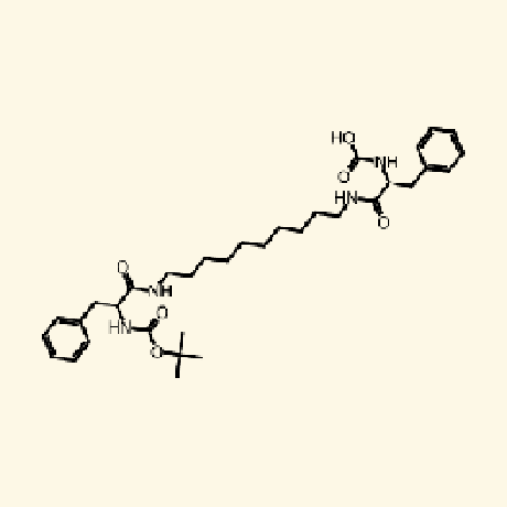 CC(C)(C)OC(=O)N[C@@H](Cc1ccccc1)C(=O)NCCCCCCCCCCNC(=O)[C@H](Cc1ccccc1)NC(=O)O